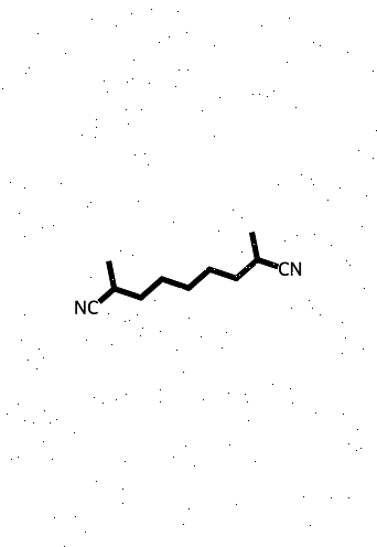 CC(C#N)CCCCCC(C)C#N